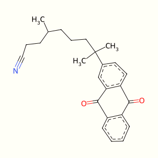 CC(CCC#N)CCCC(C)(C)c1ccc2c(c1)C(=O)c1ccccc1C2=O